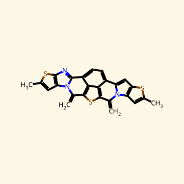 C=c1c2sc3c(=C)n4c5cc(C)sc5nc4c4ccc(c2c34)c2cc3sc(C)cc3n12